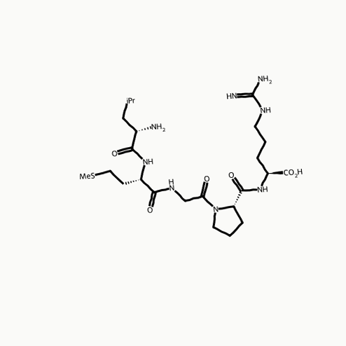 CSCC[C@H](NC(=O)[C@@H](N)CC(C)C)C(=O)NCC(=O)N1CCC[C@H]1C(=O)N[C@@H](CCCNC(=N)N)C(=O)O